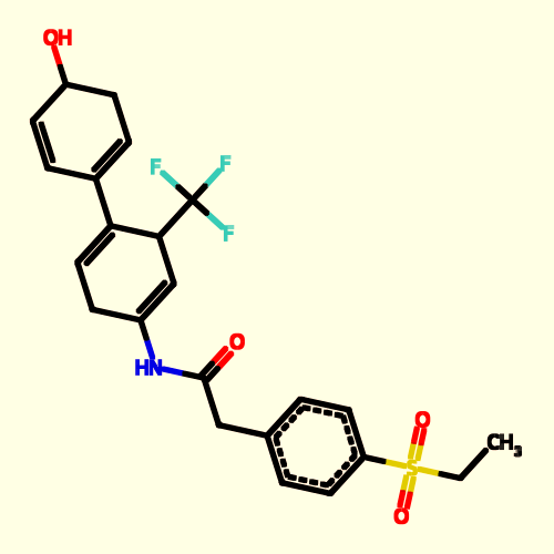 CCS(=O)(=O)c1ccc(CC(=O)NC2=CC(C(F)(F)F)C(C3=CCC(O)C=C3)=CC2)cc1